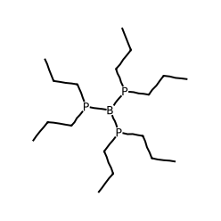 CCCP(CCC)B(P(CCC)CCC)P(CCC)CCC